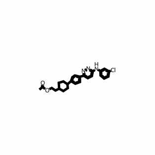 CC(=O)OCCC1CCC(c2ccc(-c3ccc(Nc4cccc(Cl)c4)nn3)cc2)CC1